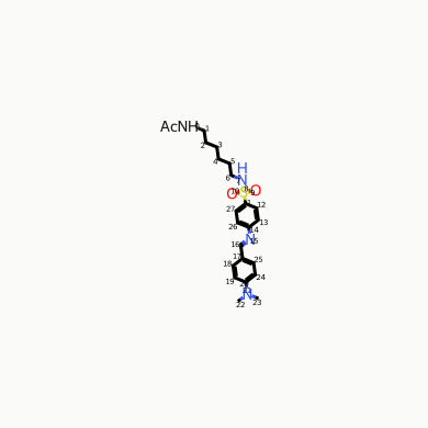 CC(=O)NCCCCCCNS(=O)(=O)c1ccc(/N=C/c2ccc(N(C)C)cc2)cc1